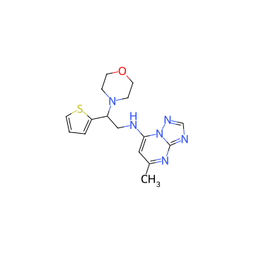 Cc1cc(NCC(c2cccs2)N2CCOCC2)n2ncnc2n1